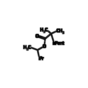 CCCCCC(C)(C)C(=O)OC(C)C(C)C